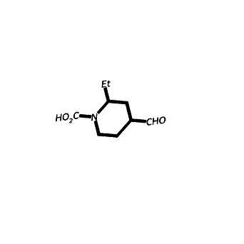 CCC1CC(C=O)CCN1C(=O)O